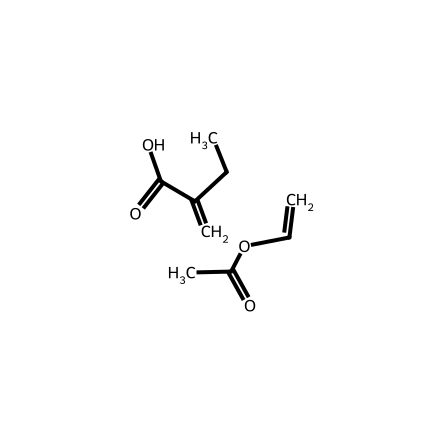 C=C(CC)C(=O)O.C=COC(C)=O